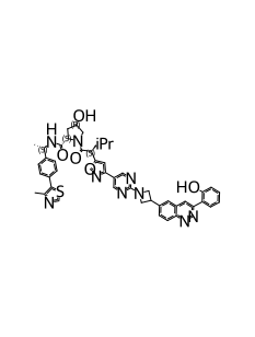 Cc1ncsc1-c1ccc([C@H](C)NC(=O)[C@@H]2C[C@@H](O)CN2C(=O)[C@H](c2cc(-c3cnc(N4CC(c5ccc6nnc(-c7ccccc7O)cc6c5)C4)nc3)no2)C(C)C)cc1